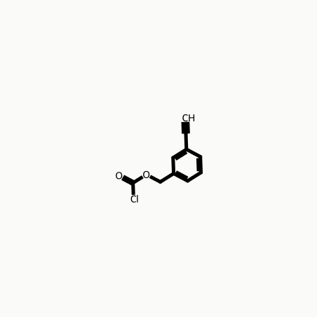 C#Cc1cccc(COC(=O)Cl)c1